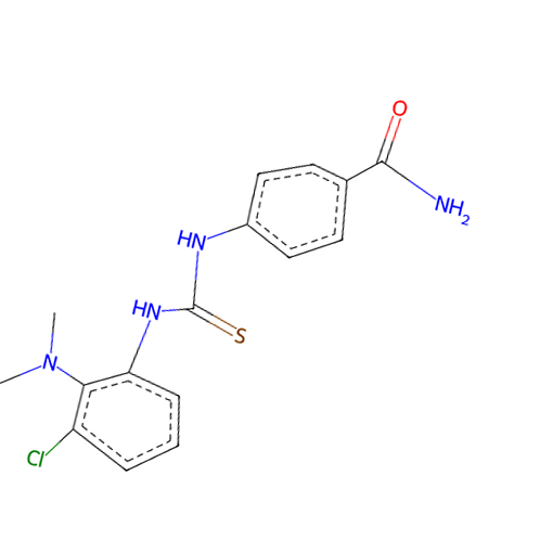 CN(C)c1c(Cl)cccc1NC(=S)Nc1ccc(C(N)=O)cc1